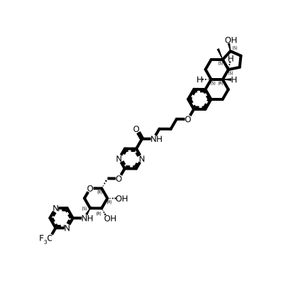 C[C@]12CC[C@@H]3c4ccc(OCCCNC(=O)c5cnc(OC[C@H]6OC[C@H](Nc7cncc(C(F)(F)F)n7)[C@@H](O)[C@H]6O)cn5)cc4CC[C@H]3[C@@H]1CC[C@@H]2O